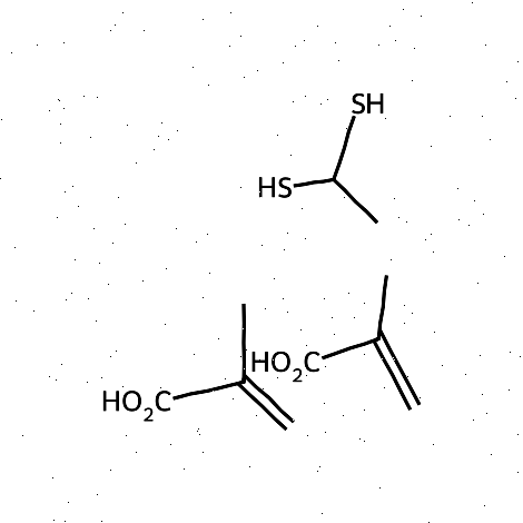 C=C(C)C(=O)O.C=C(C)C(=O)O.CC(S)S